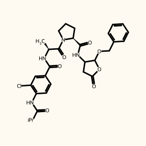 CC(C)C(=O)Nc1ccc(C(=O)N[C@@H](C)C(=O)N2CCC[C@H]2C(=O)NC2CC(=O)OC2OCc2ccccc2)cc1Cl